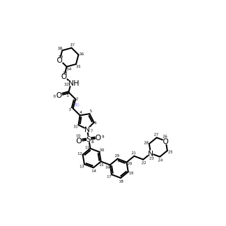 O=C(/C=C/c1ccn(S(=O)(=O)c2cccc(-c3cccc(CCN4CCOCC4)c3)c2)c1)NOC1CCCCO1